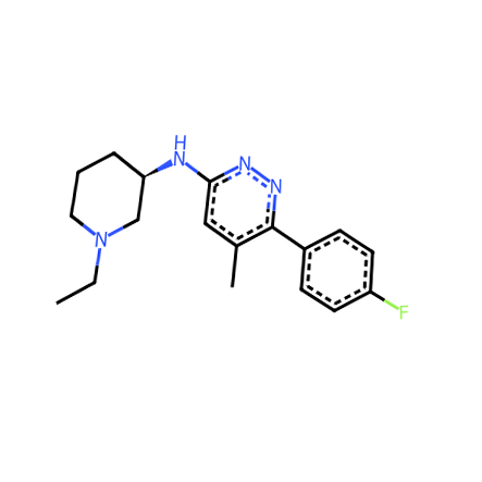 CCN1CCC[C@@H](Nc2cc(C)c(-c3ccc(F)cc3)nn2)C1